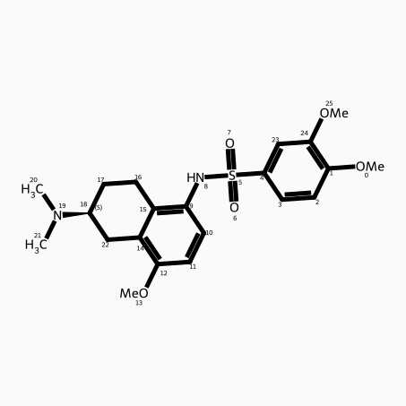 COc1ccc(S(=O)(=O)Nc2ccc(OC)c3c2CC[C@H](N(C)C)C3)cc1OC